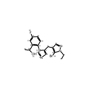 CCn1ncc(Cc2cncn2-c2ccc(F)cc2C(C)O)c1Br